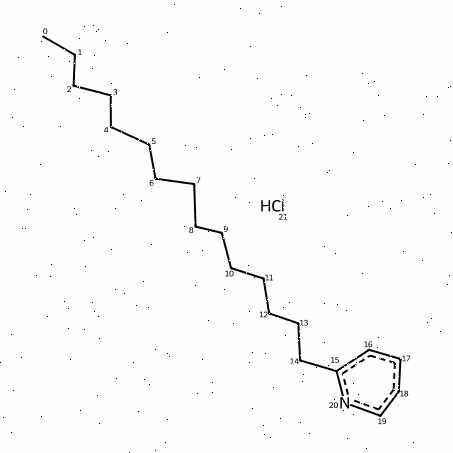 CCCCCCCCCCCCCCCc1ccccn1.Cl